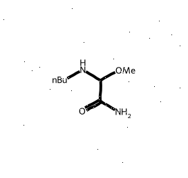 CCCCNC(OC)C(N)=O